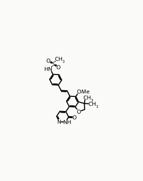 COc1c(/C=C/c2ccc(NS(C)(=O)=O)cc2)cc(-c2ccn[nH]c2=O)c2c1C(C)(C)CO2